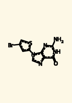 Nc1nc2c(ncn2-c2cc(Br)cs2)c(=O)[nH]1